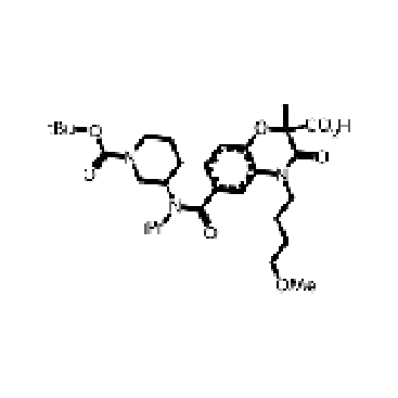 COCCCCN1C(=O)C(C)(C(=O)O)Oc2ccc(C(=O)N(C(C)C)[C@@H]3CCCN(C(=O)OC(C)(C)C)C3)cc21